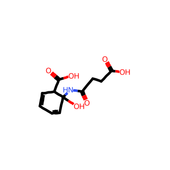 O=C(O)CCC(=O)NC1(O)C=CC=CC1C(=O)O